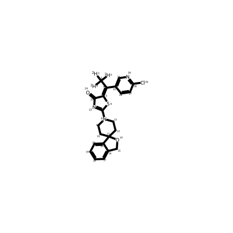 [2H]C([2H])([2H])/C(=C1/SC(N2CCC3(CC2)OCc2ccccc23)=NC1=O)c1ccc(Cl)nc1